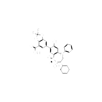 CN1[C@H](C2CCCCC2)CN(c2ccccc2)c2cc(Cl)c(-c3cc4c(c(C(=O)O)c3)OC(F)(F)O4)cc2S1(=O)=O